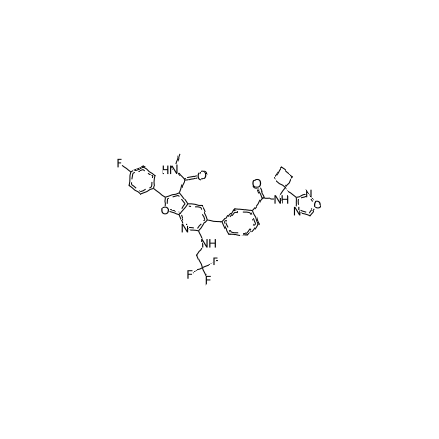 CNC(=O)c1c(-c2ccc(F)cc2)oc2nc(NCC(F)(F)F)c(-c3cccc(C(=O)NC4(c5ncon5)CCC4)c3)cc12